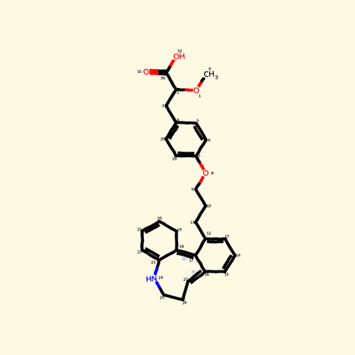 COC(Cc1ccc(OCCCc2cccc3/c2=C2/CC=CC=C2NCC/C=3)cc1)C(=O)O